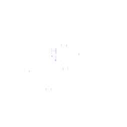 COc1cc(NC(=O)C(OC(C)C)[C@H](C)CC2CCCCC2)cc(OC)c1